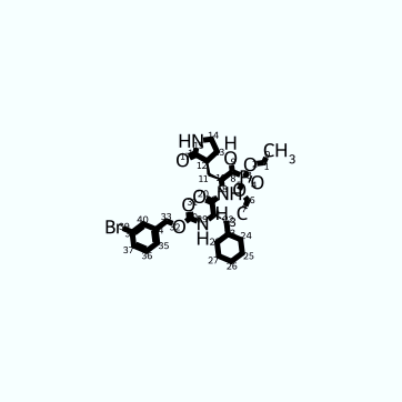 CCOP(=O)(OCC)C(O)[C@H](C[C@@H]1CCNC1=O)NC(=O)[C@H](CC1CCCCC1)NC(=O)OCc1cccc(Br)c1